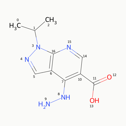 CC(C)n1ncc2c(NN)c(C(=O)O)cnc21